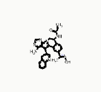 C=CC(=O)NC1Cn2c(c(-c3cnc4ccccc4c3)c3c(N)ncnc32)-c2cc(/C(C)=N/O)ccc21